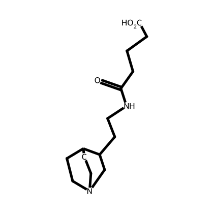 O=C(O)CCCC(=O)NCCC1CN2CCC1CC2